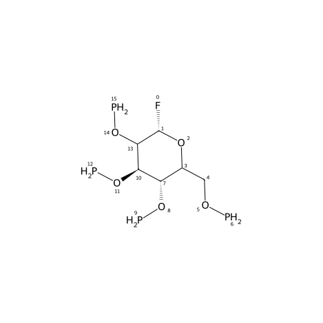 F[C@@H]1OC(COP)[C@H](OP)[C@@H](OP)C1OP